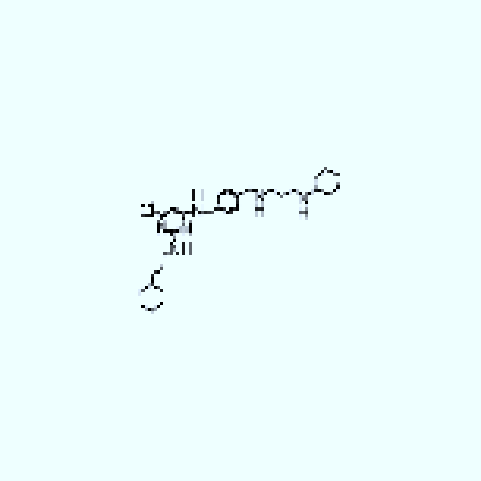 Clc1cc(NCc2ccc(CNCCCNC3CCCCC3)cc2)nc(NCCCC2CCCCC2)n1